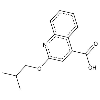 CC(C)COc1cc(C(=O)O)c2ccccc2n1